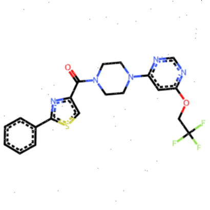 O=C(c1csc(-c2ccccc2)n1)N1CCN(c2cc(OCC(F)(F)F)ncn2)CC1